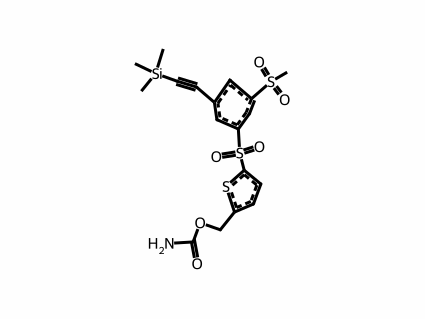 C[Si](C)(C)C#Cc1cc(S(C)(=O)=O)cc(S(=O)(=O)c2ccc(COC(N)=O)s2)c1